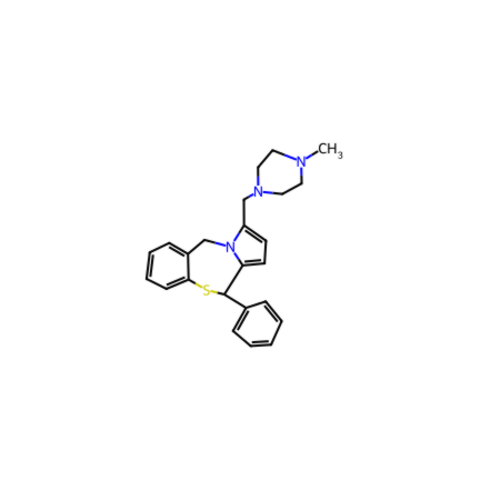 CN1CCN(Cc2ccc3n2Cc2ccccc2SC3c2ccccc2)CC1